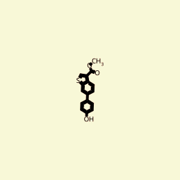 COC(=O)c1csc2cc(-c3ccc(O)cc3)ccc12